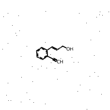 C#Cc1ccccc1C=CCO